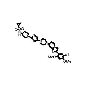 COc1cc(OC)c(-c2cn3ccc(N4CCN(c5cnc(N6CCC(NS(=O)(=O)C7CC7)CC6)nc5)CC4)cc3n2)cc1Cl